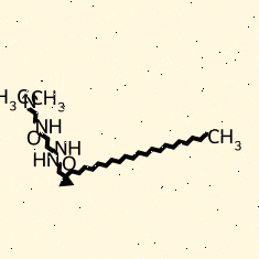 CCCCCCCCCCCCCCCCCCCCCC(=O)C1(CCNC(=N)CCC(=O)NCCCN(C)C)CC1